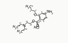 CCCOc1cc(N)ccc1C(=O)OCCN(CC)CC.Cl